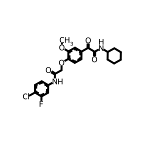 COc1cc(C(=O)C(=O)NC2CCCCC2)ccc1OCC(=O)Nc1ccc(Cl)c(F)c1